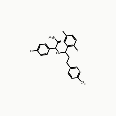 C=C(NC)C(NC(CCc1ccc(C(F)(F)F)nc1)c1cc(C)ccc1F)c1ccc(F)cc1